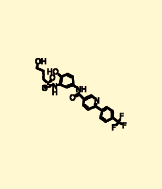 O=C(Nc1ccc(O)c(NS(=O)(=O)CCCO)c1)c1ccc(-c2ccc(C(F)(F)F)cc2)nc1